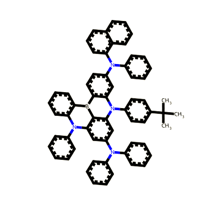 CC(C)(C)c1ccc(N2c3cc(N(c4ccccc4)c4cccc5ccccc45)ccc3B3c4ccccc4N(c4ccccc4)c4cc(N(c5ccccc5)c5ccccc5)cc2c43)cc1